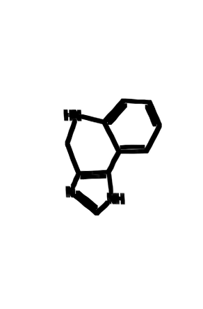 c1ccc2c(c1)NCc1nc[nH]c1-2